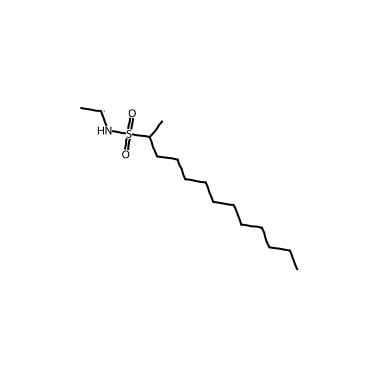 C[CH]NS(=O)(=O)C(C)CCCCCCCCCCC